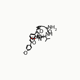 COc1ccc(-c2cnc(-c3nc4oc3[C@@]35c6ccccc6NC3Oc3ccc(cc35)C[C@H](N)C(=O)N[C@H]4C(C)C)o2)cc1